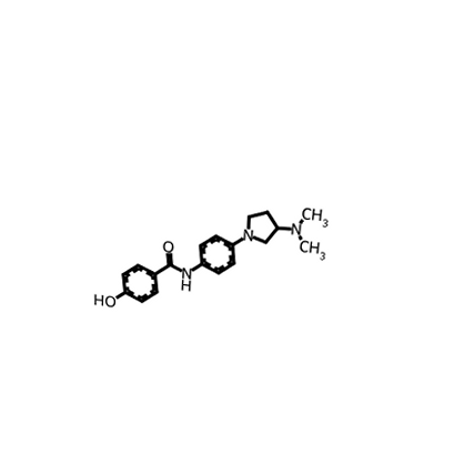 CN(C)C1CCN(c2ccc(NC(=O)c3ccc(O)cc3)cc2)C1